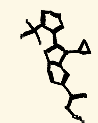 COC(=O)c1ccc2nc(-c3cncnc3C(F)(F)F)n(C3CC3)c2c1